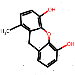 Cc1ccc(O)c2c1Cc1cccc(O)c1O2